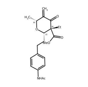 C=C1C(=O)[C@](CC)(C(=O)OC)[C@H](CCc2ccc(NC(C)=O)cc2)O[C@@H]1C